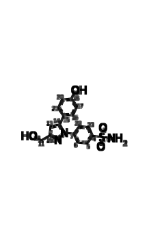 NS(=O)(=O)c1ccc(-n2nc(CO)cc2-c2ccc(O)cc2)cc1